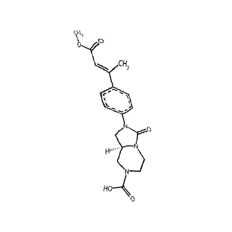 COC(=O)C=C(C)c1ccc(N2C[C@@H]3CN(C(=O)O)CCN3C2=O)cc1